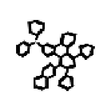 c1ccc(-c2cc(-c3ccccc3)c3c4ccccc4c4cc(N(c5ccccc5)c5ccccc5)ccc4c3c2-c2ccc3ccccc3c2)cc1